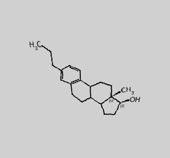 CCCc1ccc2c(c1)CCC1C2CC[C@@]2(C)C1CC[C@@H]2O